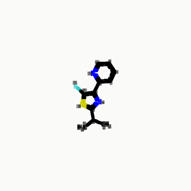 CC(C)c1nc(-c2ccccn2)c(F)s1